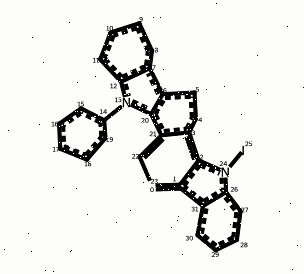 C=c1/c(=c2/ccc3c4ccccc4n(-c4ccccc4)c3/c2=C/C)n(I)c2ccccc12